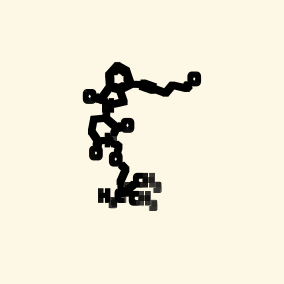 C[Si](C)(C)CCOCN1C(=O)CCC(N2Cc3c(C#CCCC=O)cccc3C2=O)C1=O